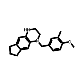 COc1ccc(CN2CCNc3cc4c(cc32)CCC4)cc1C